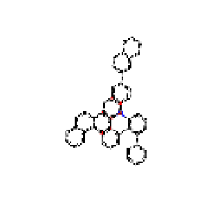 c1ccc(-c2ccccc2-c2c(-c3ccccc3)cccc2N(c2ccc(-c3ccc4ccccc4c3)cc2)c2ccc3c(ccc4ccccc43)c2)cc1